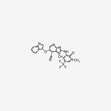 Cn1cc(C(F)(F)F)cc(Nc2nc3ncc(Oc4cnn5ccccc45)c(C#N)c3n2C)c1=O